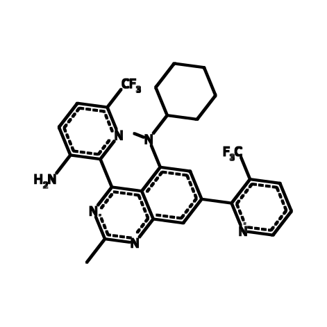 Cc1nc(-c2nc(C(F)(F)F)ccc2N)c2c(N(C)C3CCCCC3)cc(-c3ncccc3C(F)(F)F)cc2n1